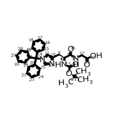 CC(C)(C)OC(=O)N[C@@H](Cc1cn(C(c2ccccc2)(c2ccccc2)c2ccccc2)cn1)C(=O)NCC(=O)O